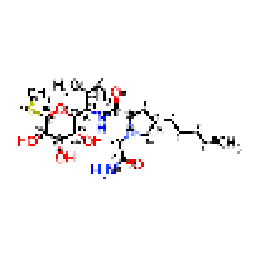 CCCCC[C@@H]1C[C@@H](C(=O)N[C@H](C(C)C)C2O[C@H](SC)[C@H](O)[C@@H](O)[C@H]2O)N(CC(N)=O)C1